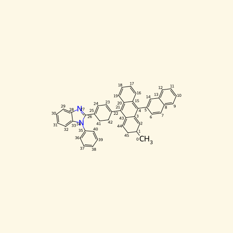 CC1C=c2c(-c3ccc4ccccc4c3)c3ccccc3c(C3=CC=C(c4nc5ccccc5n4-c4ccccc4)CC3)c2=CC1